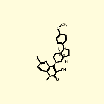 Cn1c(=O)c(C#N)c(N2CC[C@@H]3[C@@H](CCN3c3ccc(OC(F)(F)F)cc3)C2)c2nc(Cl)ccc21